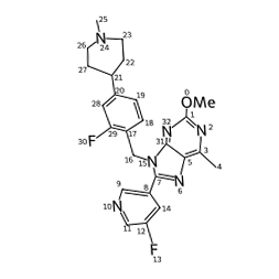 COc1nc(C)c2nc(-c3cncc(F)c3)n(Cc3ccc(C4CCN(C)CC4)cc3F)c2n1